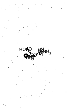 CC(C)(CO)C(=O)SCCOP(=O)(COCCn1cnc2c(N)ncnc21)NCc1ccccc1